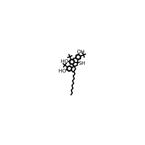 CCCCCCCCCCCCC(C)(CC(S)(c1cc(C(C)(C)C)c(O)cc1C)c1cc(C(C)(C)C)c(O)cc1C)c1cc(C(C)(C)C)c(O)cc1C